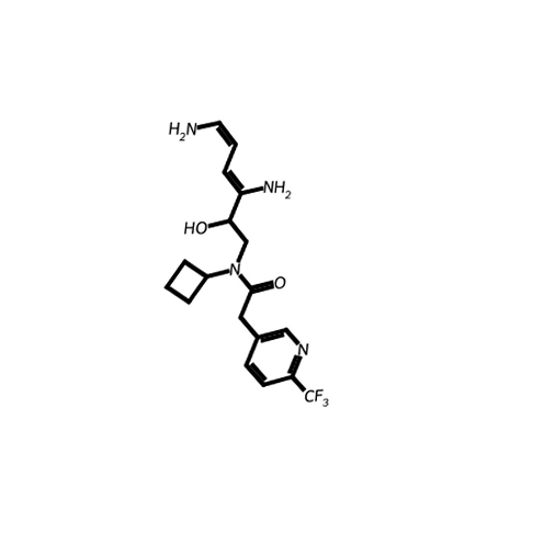 N/C=C\C=C(/N)C(O)CN(C(=O)Cc1ccc(C(F)(F)F)nc1)C1CCC1